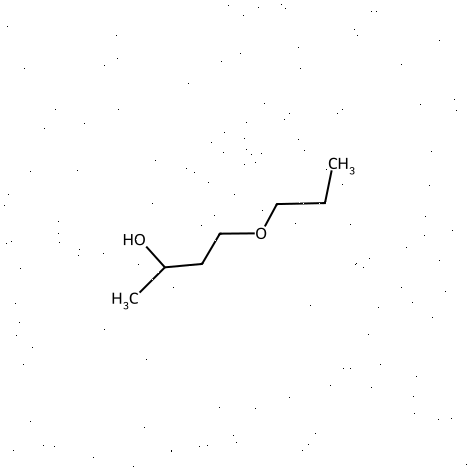 CCCOCCC(C)O